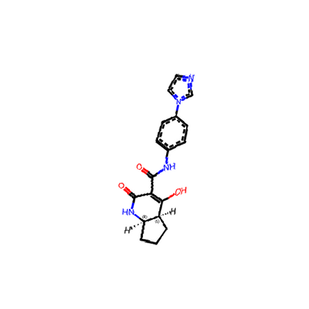 O=C(Nc1ccc(-n2ccnc2)cc1)C1=C(O)[C@H]2CCC[C@H]2NC1=O